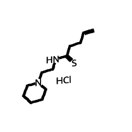 C=CCCC(=S)NCCN1CCCCC1.Cl